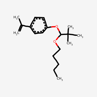 C=C(C)c1ccc(OC(OCCCCC)C(C)(C)C)cc1